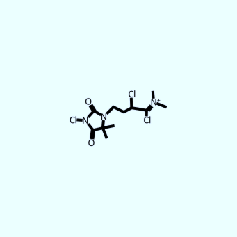 C[N+](C)=C(Cl)C(Cl)CCN1C(=O)N(Cl)C(=O)C1(C)C